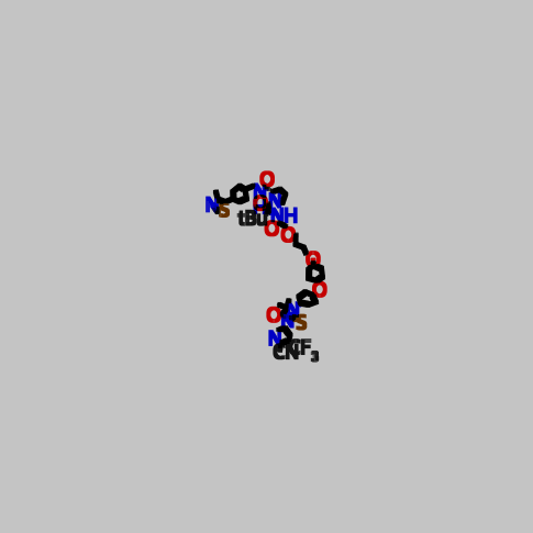 Cc1ncsc1-c1ccc(CNC(=O)[C@@H]2CCCN2C(=O)C(NC(=O)COCCCCOc2ccc(Oc3ccc(N4C(=S)N(c5cnc(C#N)c(C(F)(F)F)c5)C(=O)C4(C)C)cc3)cc2)C(C)(C)C)cc1